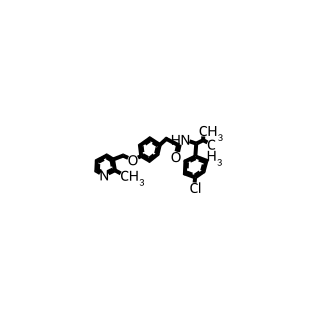 Cc1ncccc1COc1ccc(CC(=O)NC(c2ccc(Cl)cc2)C(C)C)cc1